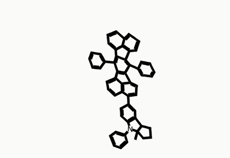 CC12CCCC1c1cc(-c3ccc4c5c(-c6ccccc6)c6c7cccc8cccc(c6c(-c6ccccc6)c5c5cccc3c54)c87)ccc1N2c1ccccc1